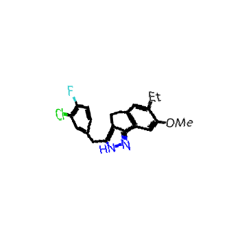 CCc1cc2c(cc1OC)-c1n[nH]c(Cc3ccc(F)c(Cl)c3)c1C2